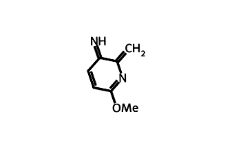 C=C1N=C(OC)C=CC1=N